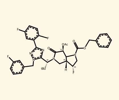 CC(=O)O[C@@H]1C(=O)N([C@@H](c2nc(-c3cc(F)ccc3F)nn2Cc2cccc(F)c2)C(C)(C)C)C[C@@H]2C1N(C(=O)OCc1ccccc1)C[C@@H]2F